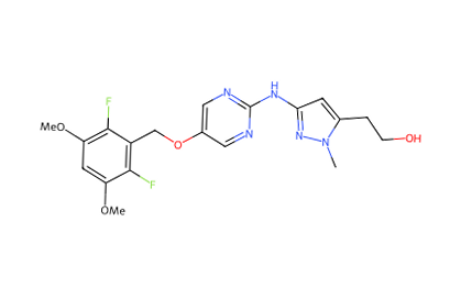 COc1cc(OC)c(F)c(COc2cnc(Nc3cc(CCO)n(C)n3)nc2)c1F